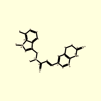 Cc1cccc2c(CN(C)C(=O)C=Cc3cnc4c(c3)CCC(=O)N4)cn(C)c12